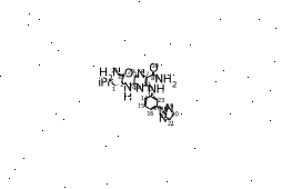 CC(C)C[C@@H](Nc1cnc(C(N)=O)c(Nc2cccc(-n3nccn3)c2)n1)C(N)=O